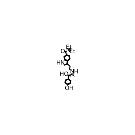 CCN(CC)C(=O)c1ccc2c(CCN[C@@H](C)[C@@H](O)c3ccc(O)cc3)c[nH]c2c1